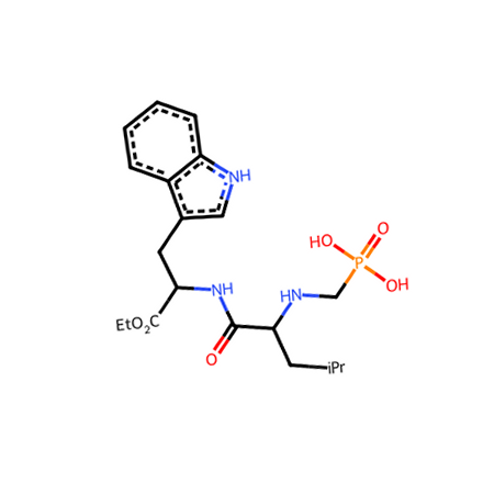 CCOC(=O)C(Cc1c[nH]c2ccccc12)NC(=O)C(CC(C)C)NCP(=O)(O)O